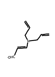 C=CCN(C=C[C]=O)CC=C